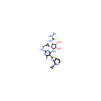 CCNC(=S)N[C@H]1C[C@@H](Nc2nc(N[C@H](C)C3CC3)nc(C)c2-c2nc3c(C4CC4)nccc3s2)[C@H](O)[C@@H]1O